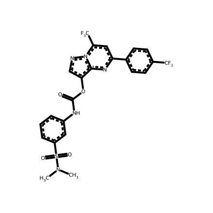 CN(C)S(=O)(=O)c1cccc(NC(=O)Oc2cnn3c(C(F)(F)F)cc(-c4ccc(C(F)(F)F)cc4)nc23)c1